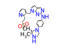 C[C@H]1CN(c2ccc(Nc3ncc4ccn(Cc5cccnc5CCS(C)(=O)=O)c4n3)cc2)CCN1